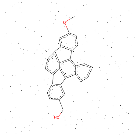 COc1ccc2c(c1)-c1ccc3c4c(c5ccccc5c-2c14)-c1cc(CO)ccc1-3